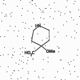 COC1(C(=O)O)CCNCC1